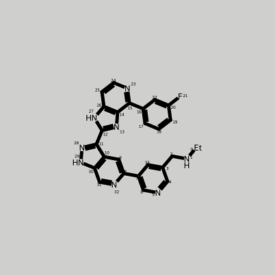 CCNCc1cncc(-c2cc3c(-c4nc5c(-c6cccc(F)c6)nccc5[nH]4)n[nH]c3cn2)c1